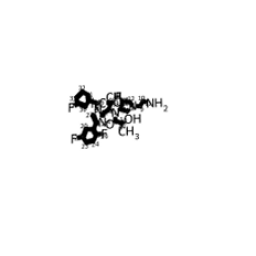 C[C@H](O)C(=O)N([C@@H]1CN(CCN)C[C@@H]1F)[C@@H](c1nc(-c2cc(F)ccc2F)cn1Cc1cccc(F)c1)C(C)(C)C